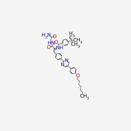 CCCCCCCOc1ccc(-c2cnc(-c3ccc(C[C@H](NC(=O)c4ccc(C(C)(C)C)cc4)C(=O)NCC(N)=O)cc3)nc2)cc1